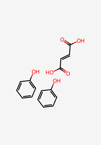 O=C(O)/C=C/C(=O)O.Oc1ccccc1.Oc1ccccc1